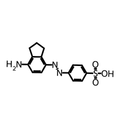 Nc1ccc(/N=N/c2ccc(S(=O)(=O)O)cc2)c2c1CCC2